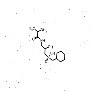 CC(N)C(=O)NCC(O)CP(=O)(O)CC1CCCCC1